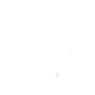 Sc1scc2ccccc12